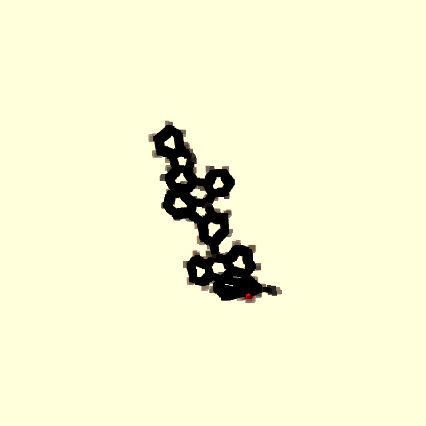 c1ccc(-n2c3ccccc3c3cc(N4c5ccccc5C5(c6ccccc64)C4C[C@@H]6CC57C[C@@]7(C4)C6)ccc32)c(-c2cccc3c2oc2ccccc23)c1